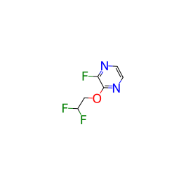 Fc1nccnc1OCC(F)F